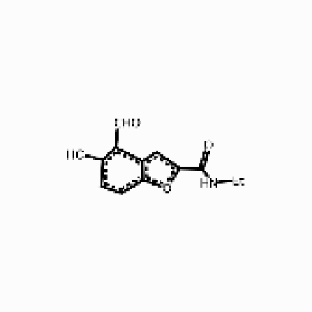 CCNC(=O)c1cc2c(C=O)c(O)ccc2o1